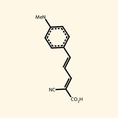 CNc1ccc(/C=C/C=C(\C#N)C(=O)O)cc1